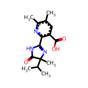 Cc1cc(C(=O)O)c(C2=NC(C)(C(C)C)C(=O)N2)nc1C